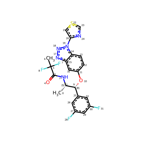 C[C@H](NC(=O)C(C)(F)F)[C@H](Oc1ccc2c(c1)nnn2-c1cscn1)c1cc(F)cc(F)c1